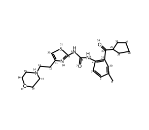 Cc1ccc(NC(=O)Nc2nc(CCN3CCOCC3)cs2)c(C(=O)C2CCCC2)c1